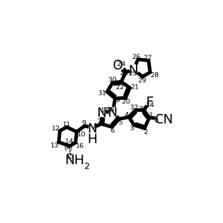 N#Cc1ccc(-c2cc(NCC3CCC[C@@H](N)C3)nn2-c2ccc(C(=O)N3CCCC3)cc2)cc1F